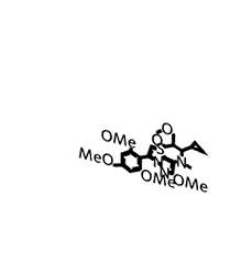 COCc1cc(OC)c(-c2csc3c(N(C)C(C4CC4)C4COCOC4)c(OC)nn23)c(OC)c1